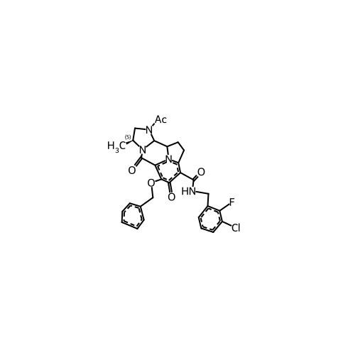 CC(=O)N1C[C@H](C)N2C(=O)c3c(OCc4ccccc4)c(=O)c(C(=O)NCc4cccc(Cl)c4F)c4n3C(CC4)C12